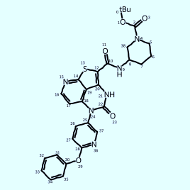 CC(C)(C)OC(=O)N1CCCC(NC(=O)c2sc3nccc4c3c2NC(=O)N4c2ccc(Oc3ccccc3)nc2)C1